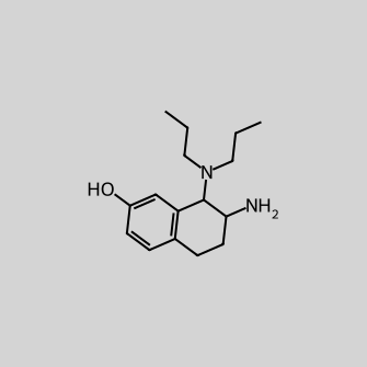 CCCN(CCC)C1c2cc(O)ccc2CCC1N